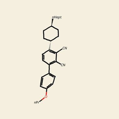 CCCCCCC[C@H]1CC[C@H](c2ccc(-c3ccc(OCCC)cc3)c(C#N)c2C#N)CC1